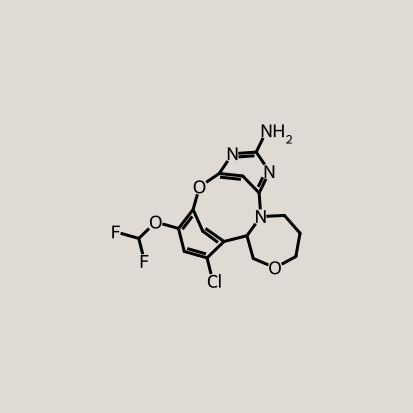 Nc1nc2cc(n1)N1CCCOCC1c1cc(c(OC(F)F)cc1Cl)O2